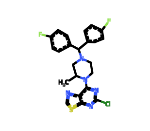 CC1CN(C(c2ccc(F)cc2)c2ccc(F)cc2)CCN1c1nc(Cl)nc2scnc12